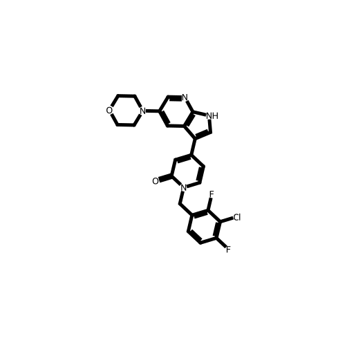 O=c1cc(-c2c[nH]c3ncc(N4CCOCC4)cc23)ccn1Cc1ccc(F)c(Cl)c1F